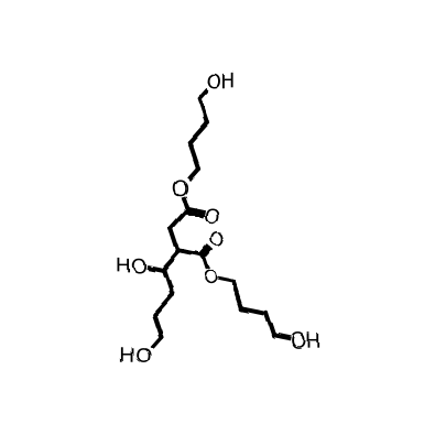 O=C(CC(C(=O)OCCCCO)C(O)CCCO)OCCCCO